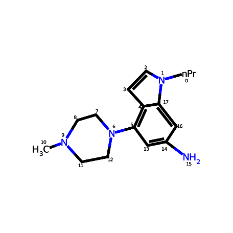 CCCn1ccc2c(N3CCN(C)CC3)cc(N)cc21